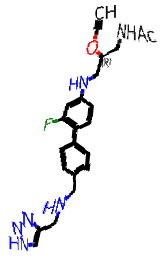 C#CO[C@@H](CNC(C)=O)CNc1ccc(-c2ccc(CNCc3c[nH]nn3)cc2)c(F)c1